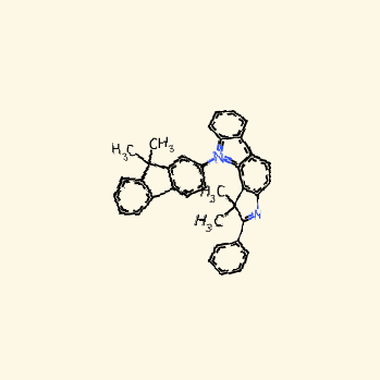 CC1(C)C(c2ccccc2)=Nc2ccc3c4ccccc4n(-c4ccc5c(c4)C(C)(C)c4ccccc4-5)c3c21